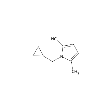 Cc1ccc(C#N)n1CC1CC1